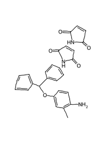 Cc1cc(OC(c2ccccc2)c2ccccc2)ccc1N.O=C1C=CC(=O)N1.O=C1C=CC(=O)N1